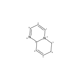 C1=CN2CCC=CC2N=C1